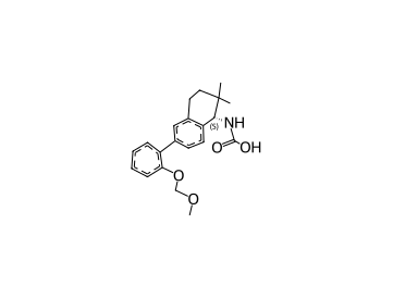 COCOc1ccccc1-c1ccc2c(c1)CCC(C)(C)[C@@H]2NC(=O)O